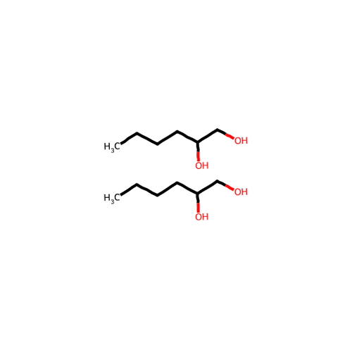 CCCCC(O)CO.CCCCC(O)CO